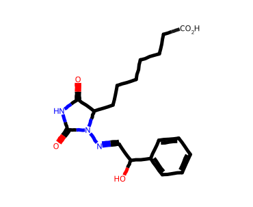 O=C(O)CCCCCCC1C(=O)NC(=O)N1/N=C/C(O)c1ccccc1